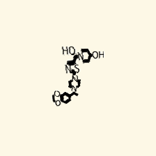 CC(c1ccc2c(c1)OCCO2)N1CCN(c2ncc(C(O)N3CCC(O)CC3)s2)CC1